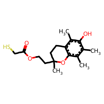 Cc1c(C)c2c(c(C)c1O)CCC(C)(CCOC(=O)CS)O2